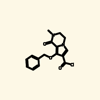 CN1CCn2cc(C(=O)Cl)c(OCc3ccccc3)c2C1=O